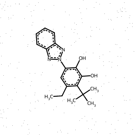 CCc1cc(-n2nc3ccccc3n2)c(O)c(O)c1C(C)(C)C